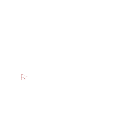 CC1C(Br)C=CCC1(C)C